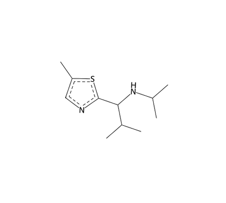 Cc1cnc(C(NC(C)C)C(C)C)s1